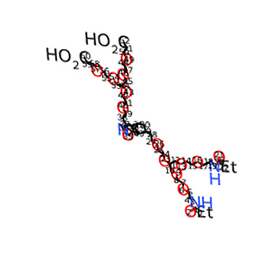 CCC(=O)NCCOCCOCC(COCCOCCNC(=O)CC)OCCOCCC1CC2CC1C1ON=C(CCOCCOC(COCCOCCC(=O)O)COCCOCCC(=O)O)C21